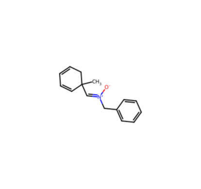 CC1(C=[N+]([O-])Cc2ccccc2)C=CC=CC1